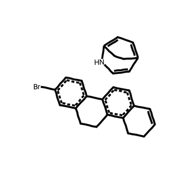 Brc1ccc2c(c1)CCc1c-2ccc2c1CCC=C2.C1=CC2=CC=C(CC2)N1